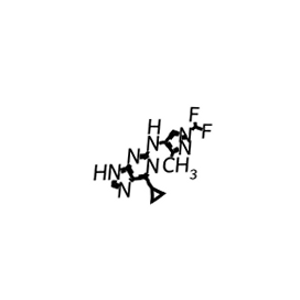 Cc1nn(C(F)F)cc1Nc1nc(C2CC2)c2nc[nH]c2n1